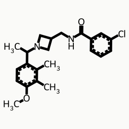 COc1ccc(C(C)N2CC(CNC(=O)c3cccc(Cl)c3)C2)c(C)c1C